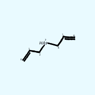 C=C[CH][AsH]CC=C